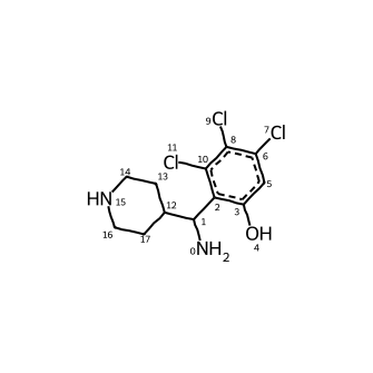 NC(c1c(O)cc(Cl)c(Cl)c1Cl)C1CCNCC1